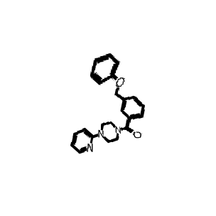 O=C(c1cccc(COc2ccccc2)c1)N1CCN(c2ccccn2)CC1